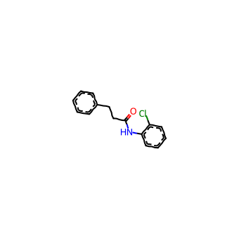 O=C(CCc1ccccc1)Nc1ccccc1Cl